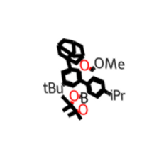 COCOc1c(-c2ccc(C(C)C)cc2B2OC(C)(C)C(C)(C)O2)cc(C(C)(C)C)cc1C12CC3CC(CC(C3)C1)C2